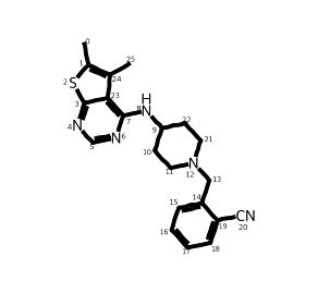 Cc1sc2ncnc(NC3CCN(Cc4ccccc4C#N)CC3)c2c1C